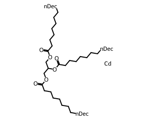 CCCCCCCCCCCCCCCCCC(=O)OCC(COC(=O)CCCCCCCCCCCCCCCCC)OC(=O)CCCCCCCCCCCCCCCCC.[Cd]